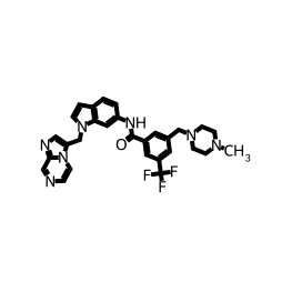 CN1CCN(Cc2cc(C(=O)Nc3ccc4ccn(Cc5cnc6cnccn56)c4c3)cc(C(F)(F)F)c2)CC1